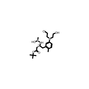 CB(O)N[C@H](CC(=O)OC(C)(C)C)Cc1cc(N(CCO)CCCl)ccc1C